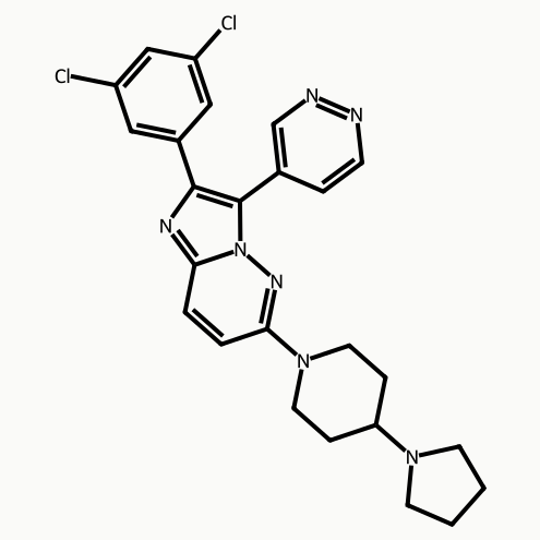 Clc1cc(Cl)cc(-c2nc3ccc(N4CCC(N5CCCC5)CC4)nn3c2-c2ccnnc2)c1